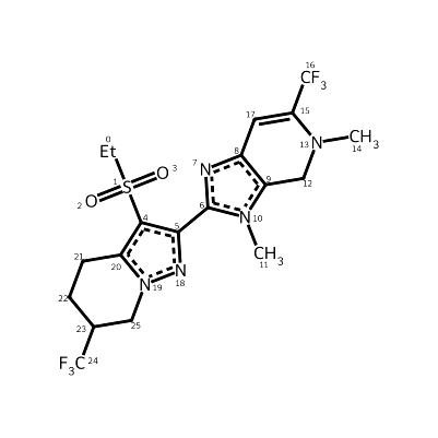 CCS(=O)(=O)c1c(-c2nc3c(n2C)CN(C)C(C(F)(F)F)=C3)nn2c1CCC(C(F)(F)F)C2